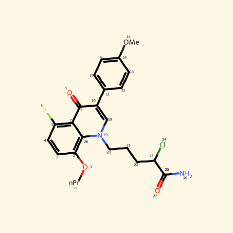 CCCOc1ccc(F)c2c(=O)c(-c3ccc(OC)cc3)cn(CCCC(Cl)C(N)=O)c12